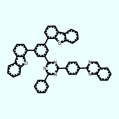 c1ccc(-c2nc(-c3ccc(-c4ncc5ccccc5n4)cc3)nc(-c3cc(-c4cccc5c4oc4ccccc45)cc(-c4cccc5c4oc4ccccc45)c3)n2)cc1